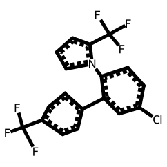 FC(F)(F)c1ccc(-c2cc(Cl)ccc2-n2cccc2C(F)(F)F)cc1